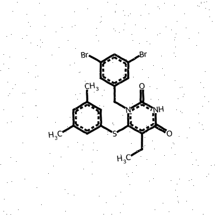 CCc1c(Sc2cc(C)cc(C)c2)n(Cc2cc(Br)cc(Br)c2)c(=O)[nH]c1=O